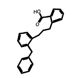 O=C(O)c1ccccc1CCCc1ccccc1Cc1ccccc1